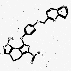 Cn1ncc2c1-c1c(Oc3ccc(OCc4ccc5ccccc5n4)cc3)sc(C(N)=O)c1CC2